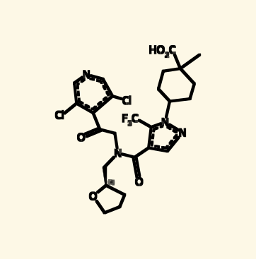 CC1(C(=O)O)CCC(n2ncc(C(=O)N(CC(=O)c3c(Cl)cncc3Cl)C[C@H]3CCCO3)c2C(F)(F)F)CC1